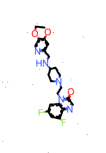 O=c1cnc2c(F)cc(F)cc2n1CCN1CCC(NCc2cc3c(cn2)OCCO3)CC1